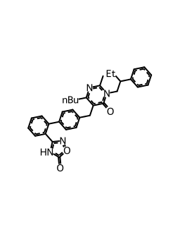 CCCCc1nc(C)n(CC(CC)c2ccccc2)c(=O)c1Cc1ccc(-c2ccccc2-c2noc(=O)[nH]2)cc1